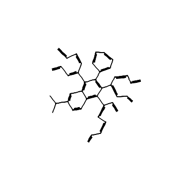 C=C/C=C\C=C(/C=C)c1c(C(/C=C\C=C)=C/C=C)c(-c2ccccc2)c(C(/C=C\C=C)=C/C=C)c2cc(C(C)C)ccc12